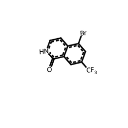 O=c1[nH]ccc2c(Br)cc(C(F)(F)F)cc12